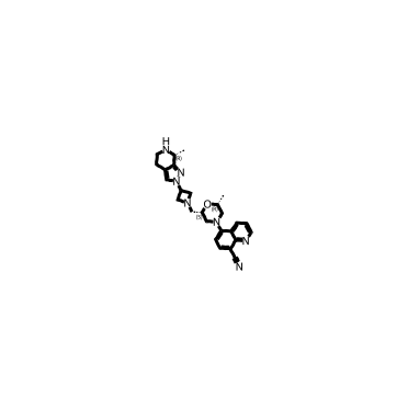 C[C@@H]1CN(c2ccc(C#N)c3ncccc23)C[C@H](CN2CC(n3cc4c(n3)[C@@H](C)NCC4)C2)O1